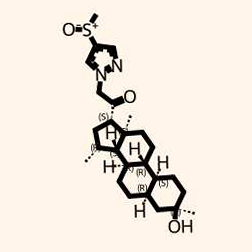 C[C@@H]1C[C@H](C(=O)Cn2cc([S+](C)[O-])cn2)[C@@]2(C)CC[C@H]3[C@@H](CC[C@@H]4C[C@](C)(O)CC[C@@H]43)[C@H]12